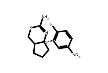 NC1=N[C@@]2(c3cc([N+](=O)[O-])ccc3F)CCCC2CS1